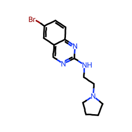 Brc1ccc2nc(NCCN3CCCC3)ncc2c1